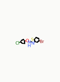 Clc1ccc(ONc2nc3cc(Br)ccc3s2)cc1